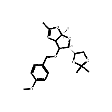 COc1ccc(COC2C3N=C(C)O[C@H]3O[C@@H]2C2COC(C)(C)O2)cc1